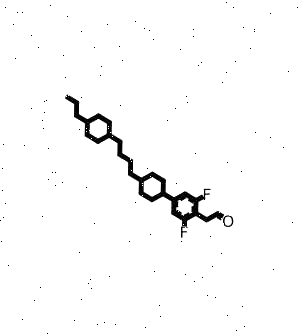 CCCC1CCC(CCCCC2CCC(c3cc(F)c(CC=O)c(F)c3)CC2)CC1